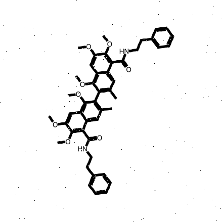 COc1cc2c(OC)c(-c3c(C)cc4c(C(=O)NCCc5ccccc5)c(OC)c(OC)cc4c3OC)c(C)cc2c(C(=O)NCCc2ccccc2)c1OC